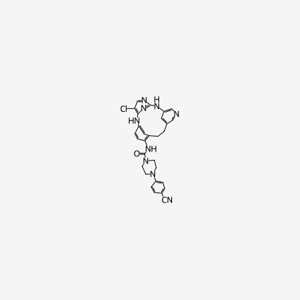 N#Cc1ccc(N2CCN(C(=O)Nc3ccc4cc3CCc3cncc(c3)Nc3ncc(Cl)c(n3)N4)CC2)cc1